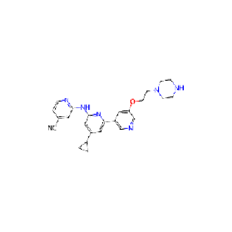 N#Cc1ccnc(Nc2cc(C3CC3)cc(-c3cncc(OCCN4CCNCC4)c3)n2)c1